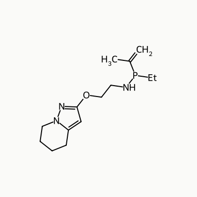 C=C(C)P(CC)NCCOc1cc2n(n1)CCCC2